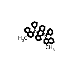 Cc1ccc(N(c2ccccc2)c2c3ccccc3c(N(c3ccccc3)c3ccc(C)c4ccccc34)c3ccccc23)c2ccccc12